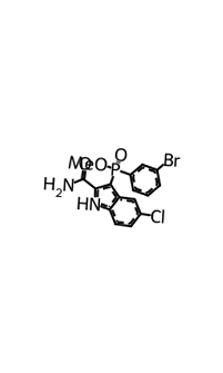 COP(=O)(c1cccc(Br)c1)c1c(C(N)=O)[nH]c2ccc(Cl)cc12